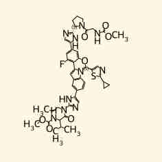 CCCN(C(=O)C(NC(=O)OC)C(C)C)c1ncc(-c2ccc3c(c2)cc2n3[C@H](c3cnc(C4CC4)s3)Oc3cc(-c4cnc([C@@H]5CCCN5C(=O)CNC(=O)OC)[nH]4)cc(F)c3-2)[nH]1